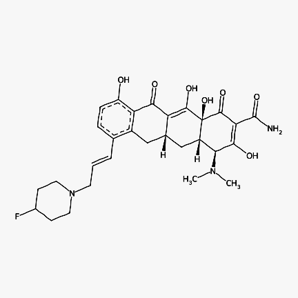 CN(C)[C@@H]1C(O)=C(C(N)=O)C(=O)[C@@]2(O)C(O)=C3C(=O)c4c(O)ccc(/C=C/CN5CCC(F)CC5)c4C[C@H]3C[C@@H]12